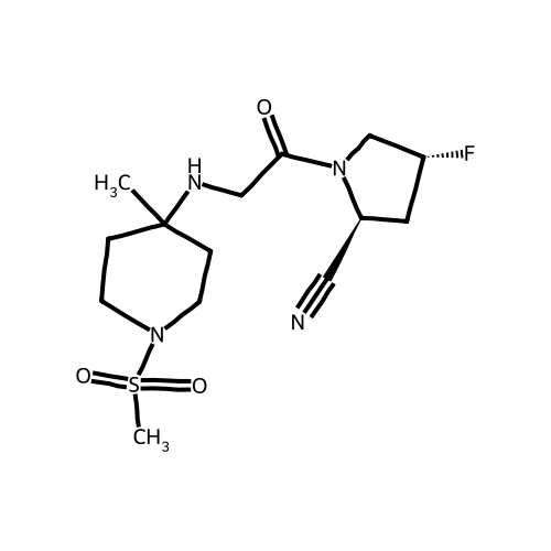 CC1(NCC(=O)N2C[C@H](F)C[C@H]2C#N)CCN(S(C)(=O)=O)CC1